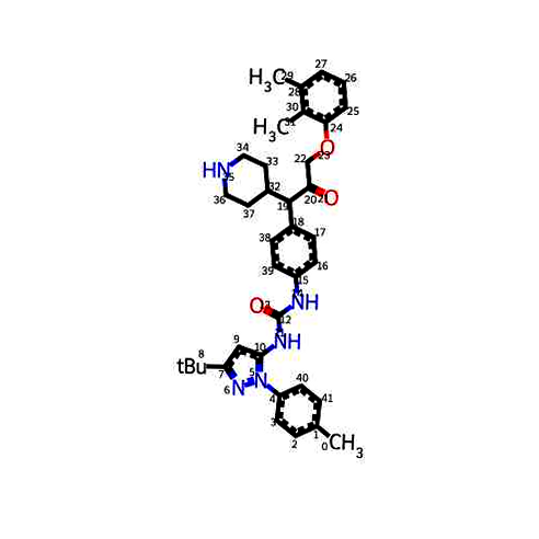 Cc1ccc(-n2nc(C(C)(C)C)cc2NC(=O)Nc2ccc(C(C(=O)COc3cccc(C)c3C)C3CCNCC3)cc2)cc1